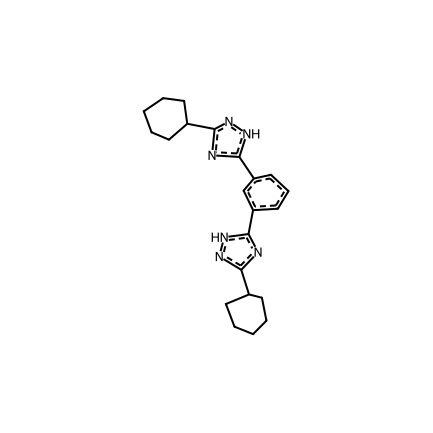 c1cc(-c2nc(C3CCCCC3)n[nH]2)cc(-c2nc(C3CCCCC3)n[nH]2)c1